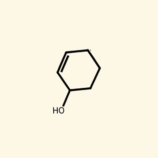 OC1C=C[CH]CC1